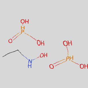 CCNO.O=[PH](O)O.O=[PH](O)O